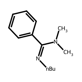 CCCCN=C(c1ccccc1)N(C)C